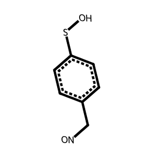 O=NCc1ccc(SO)cc1